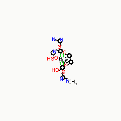 C/N=C/c1cncc(COc2cc(OCc3cccc(-c4cccc(COc5cc(OCc6cncc(C#N)c6)c(CN6CCC[C@H](C(=O)O)C6)cc5Cl)c4C)c3C)c(Cl)cc2CO)c1